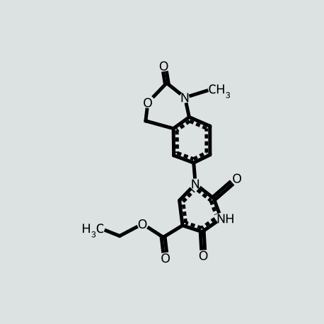 CCOC(=O)c1cn(-c2ccc3c(c2)COC(=O)N3C)c(=O)[nH]c1=O